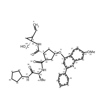 C=CC1C[C@@]1(NC(=O)[C@@H]1C[C@@H](Oc2cc(-c3ccccc3)nc3cc(OC)ccc23)C[C@H]1C(=O)N[C@H](C(=O)NC1CCCC1)C(C)(C)C)C(=O)O